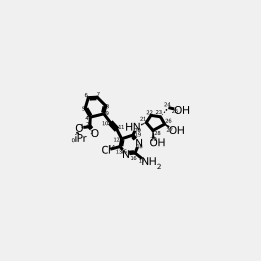 CC(C)OC(=O)c1ccccc1C#Cc1c(Cl)nc(N)nc1N[C@@H]1C[C@H](CO)[C@@H](O)[C@H]1O